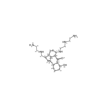 NCCNCCNc1ccc2c(CNCCN)nn3c4cccc(O)c4c(=O)c1c23